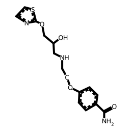 NC(=O)c1ccc(OCCNCC(O)COc2nccs2)cc1